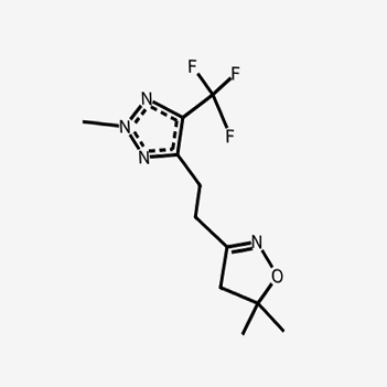 Cn1nc(CCC2=NOC(C)(C)C2)c(C(F)(F)F)n1